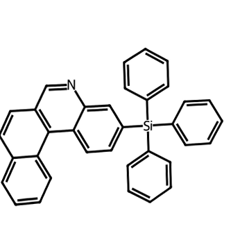 c1ccc([Si](c2ccccc2)(c2ccccc2)c2ccc3c(c2)ncc2ccc4ccccc4c23)cc1